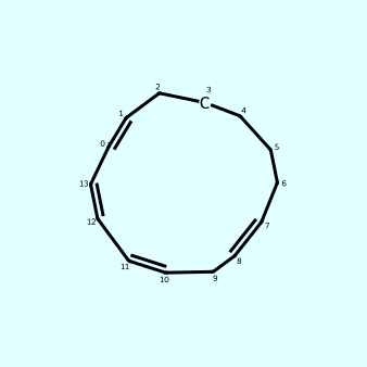 [C]1=CCCCCCC=CCC=CC=C1